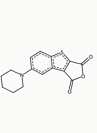 O=C1OC(=O)c2c1sc1ccc(N3CCCCC3)cc21